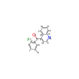 Cc1ccc(F)c(C(=O)c2ccnc3ccccc23)c1